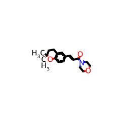 CC1(C)CCc2cc(/C=C/C(=O)N3CCOCC3)ccc2O1